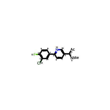 CNC(C(C)=O)c1ccc(-c2ccc(F)c(Cl)c2)nc1